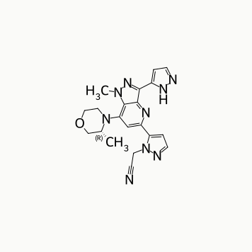 C[C@@H]1COCCN1c1cc(-c2ccnn2CC#N)nc2c(-c3ccn[nH]3)nn(C)c12